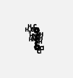 Cc1ccc(NC(=N)NC(=N)NCc2ccc(Cl)c(Cl)c2)cc1C